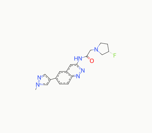 Cn1cc(-c2ccc3nnc(NC(=O)CN4CC[C@H](F)C4)cc3c2)cn1